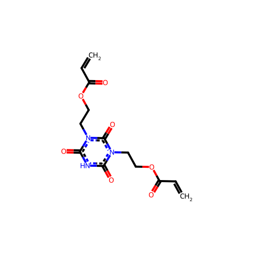 C=CC(=O)OCCn1c(=O)[nH]c(=O)n(CCOC(=O)C=C)c1=O